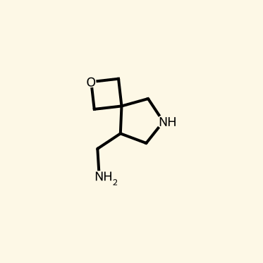 NCC1CNCC12COC2